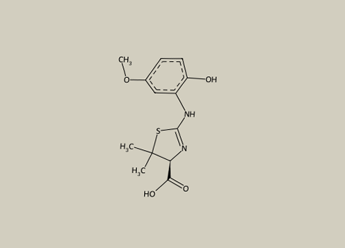 COc1ccc(O)c(NC2=N[C@@H](C(=O)O)C(C)(C)S2)c1